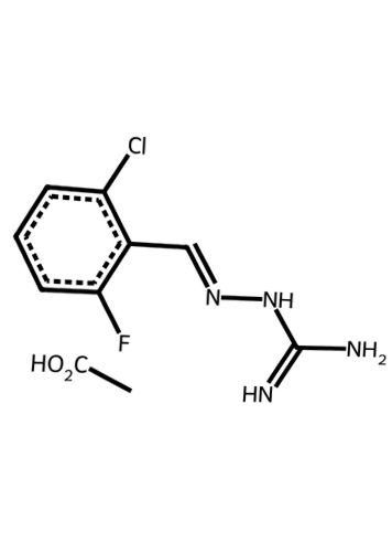 CC(=O)O.N=C(N)N/N=C/c1c(F)cccc1Cl